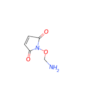 NCON1C(=O)C=CC1=O